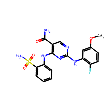 COc1ccc(F)c(Nc2ncc(C(N)=O)c(Nc3ccccc3S(N)(=O)=O)n2)c1